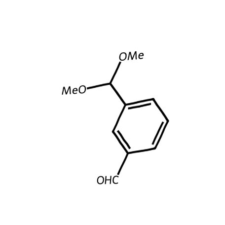 COC(OC)c1cccc(C=O)c1